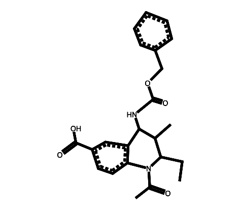 CCC1C(C)C(NC(=O)OCc2ccccc2)c2cc(C(=O)O)ccc2N1C(C)=O